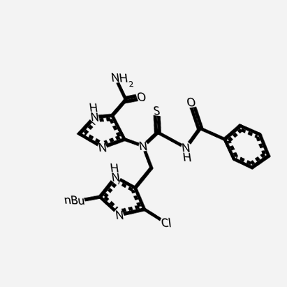 CCCCc1nc(Cl)c(CN(C(=S)NC(=O)c2ccccc2)c2nc[nH]c2C(N)=O)[nH]1